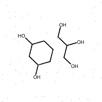 OC1CCCC(O)C1.OCC(O)CO